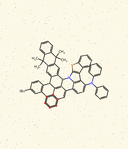 CC(C)(C)c1ccc(C2c3cc4c(cc3B3c5c(cc6ccccc6c52)-c2ccc(N(c5ccccc5)c5ccccc5)c5c6c7ccccc7sc6n3c25)C(C)(C)c2ccccc2C4(C)C)c(-c2ccccc2)c1